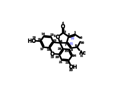 C/C=C1/C(=O)OC2(/C1=C/C(C)C(C)=O)c1ccc(O)cc1Oc1cc(O)ccc12